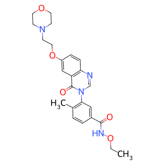 CCONC(=O)c1ccc(C)c(-n2cnc3ccc(OCCN4CCOCC4)cc3c2=O)c1